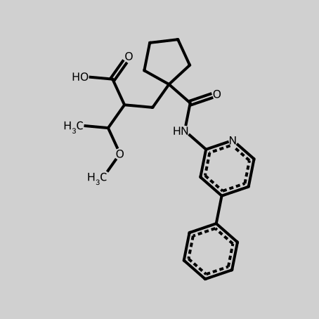 COC(C)C(CC1(C(=O)Nc2cc(-c3ccccc3)ccn2)CCCC1)C(=O)O